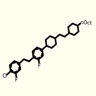 CCCCCCCCC1CCC(CCC2CCC(c3ccc(CCc4ccc(Cl)c(F)c4)c(F)c3)CC2)CC1